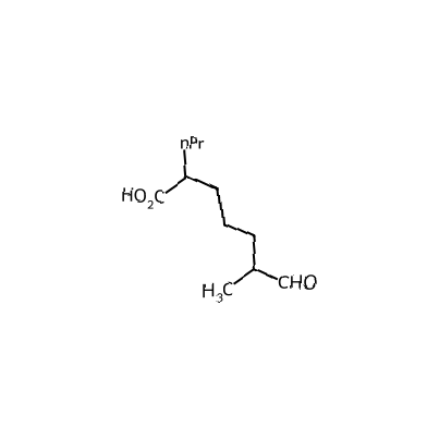 CCCC(CCCC(C)C=O)C(=O)O